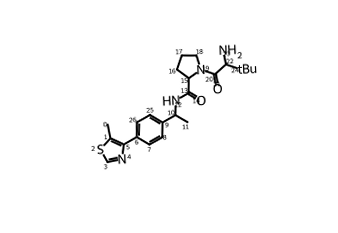 Cc1scnc1-c1ccc(C(C)NC(=O)C2CCCN2C(=O)C(N)C(C)(C)C)cc1